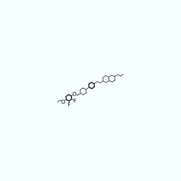 CCCC1CCC2CC(CCc3ccc(C4CCC(COc5ccc(OCC)c(F)c5F)CC4)cc3)CCC2C1